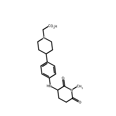 CN1C(=O)CCC(Nc2ccc(C3CCN(CC(=O)O)CC3)cc2)C1=O